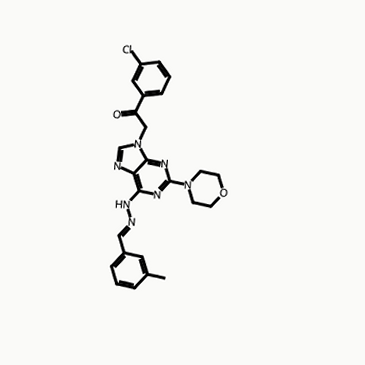 Cc1cccc(/C=N/Nc2nc(N3CCOCC3)nc3c2ncn3CC(=O)c2cccc(Cl)c2)c1